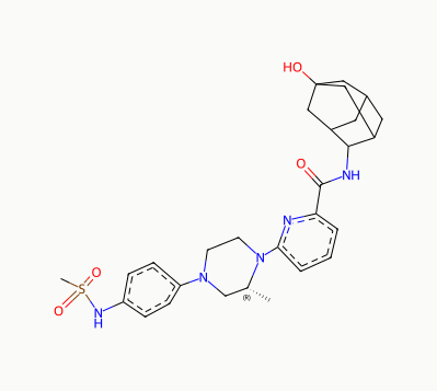 C[C@@H]1CN(c2ccc(NS(C)(=O)=O)cc2)CCN1c1cccc(C(=O)NC2C3CC4CC2CC(O)(C4)C3)n1